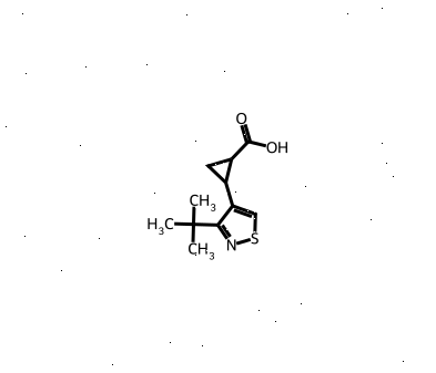 CC(C)(C)c1nscc1C1CC1C(=O)O